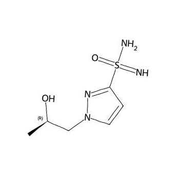 C[C@@H](O)Cn1ccc(S(=N)(N)=O)n1